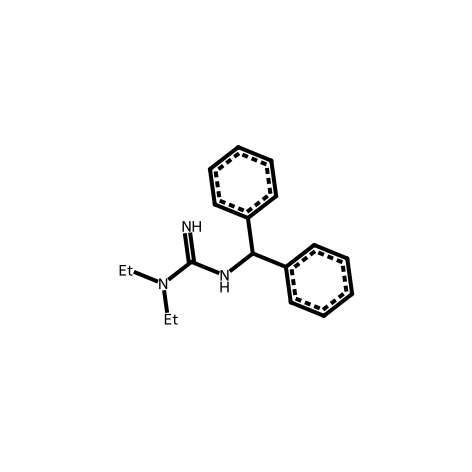 CCN(CC)C(=N)NC(c1ccccc1)c1ccccc1